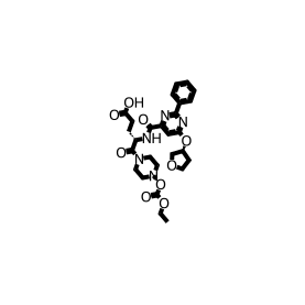 CCOC(=O)ON1CCN(C(=O)[C@H](CCC(=O)O)NC(=O)c2cc(O[C@H]3CCOC3)nc(-c3ccccc3)n2)CC1